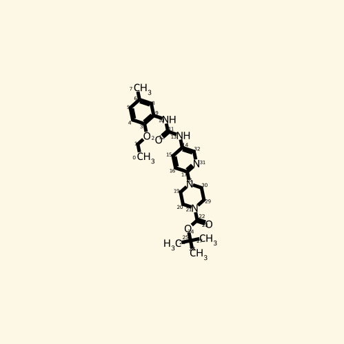 CCOc1ccc(C)cc1NC(=O)Nc1ccc(N2CCN(C(=O)OC(C)(C)C)CC2)nc1